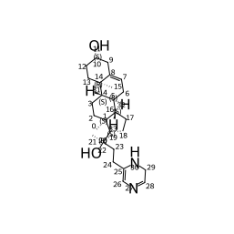 C[C@]12CC[C@H]3[C@@H](CC=C4C[C@@H](O)CC[C@@]43C)[C@@H]1CC[C@@H]2[C@](C)(O)CCC1=CN=CCN1